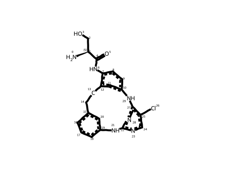 N[C@@H](CO)C(=O)Nc1ccc2cc1CCc1cccc(c1)Nc1ncc(Cl)c(n1)N2